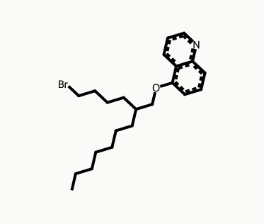 CCCCCCCC(CCCCBr)COc1cccc2ncccc12